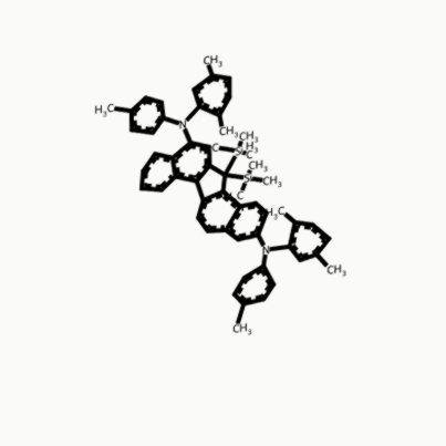 Cc1ccc(N(c2ccc3c4c(ccc3c2)-c2c(cc(N(c3ccc(C)cc3)c3cc(C)ccc3C)c3ccccc23)C4([Si](C)(C)C)[Si](C)(C)C)c2cc(C)ccc2C)cc1